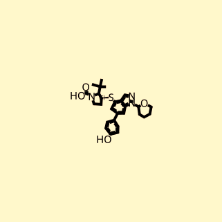 CC(C)(C)C1[C@@H](Sc2cc(-c3ccc(O)cc3)cc3c2cnn3C2CCCCO2)CCN1C(=O)O